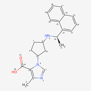 Cc1ncn(C2CCC(N[C@H](C)c3cccc4ccccc34)C2)c1C(=O)O